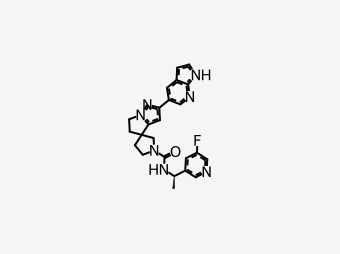 C[C@@H](NC(=O)N1CCC2(CCn3nc(-c4cnc5[nH]ccc5c4)cc32)C1)c1cncc(F)c1